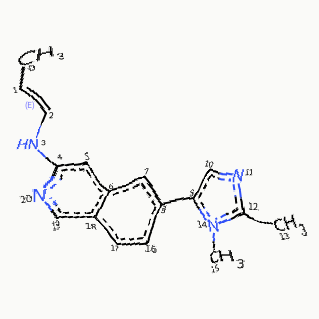 C/C=C/Nc1cc2cc(-c3cnc(C)n3C)ccc2cn1